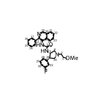 COCCN1C[C@@H](NC(=O)Nc2c(-c3ccccc3)ncc3ccccc23)[C@H](c2cccc(F)c2)C1